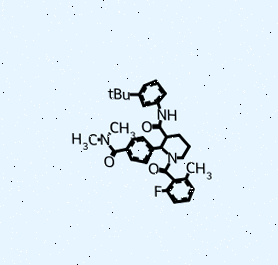 Cc1cccc(F)c1C(=O)N1CCCC(C(=O)Nc2cccc(C(C)(C)C)c2)C1c1ccc(C(=O)N(C)C)cc1